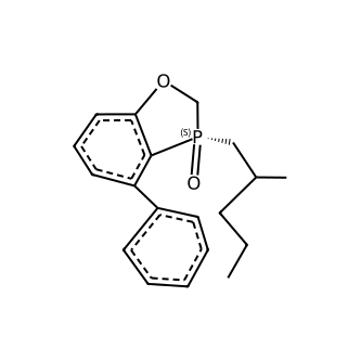 CCCC(C)C[P@@]1(=O)COc2cccc(-c3ccccc3)c21